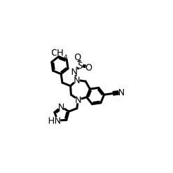 C.N#Cc1ccc2c(c1)CN(N=S(=O)=O)C(Cc1ccccc1)CN2Cc1c[nH]cn1